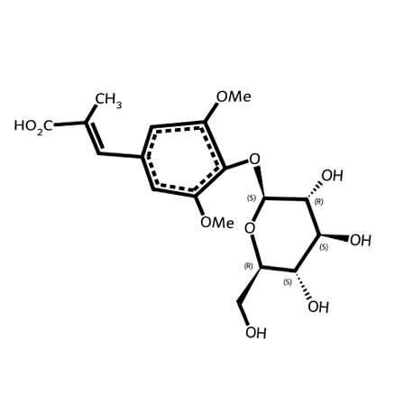 COc1cc(C=C(C)C(=O)O)cc(OC)c1O[C@@H]1O[C@H](CO)[C@@H](O)[C@H](O)[C@H]1O